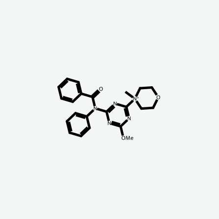 COc1nc(N(C(=O)c2ccccc2)c2ccccc2)nc([N+]2(C)CCOCC2)n1